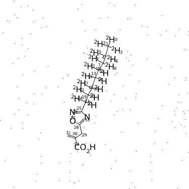 [2H]C([2H])([2H])C([2H])([2H])C([2H])([2H])C([2H])([2H])C([2H])([2H])C([2H])([2H])C([2H])([2H])C([2H])([2H])c1noc(CC(=C)C(=O)O)n1